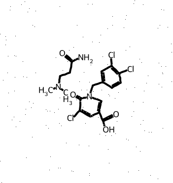 CN(C)CCC(N)=O.O=C(O)c1cc(Cl)c(=O)n(Cc2ccc(Cl)c(Cl)c2)c1